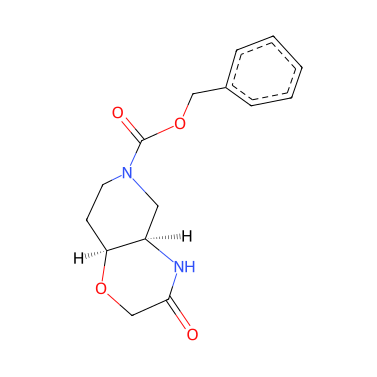 O=C1CO[C@H]2CCN(C(=O)OCc3ccccc3)C[C@H]2N1